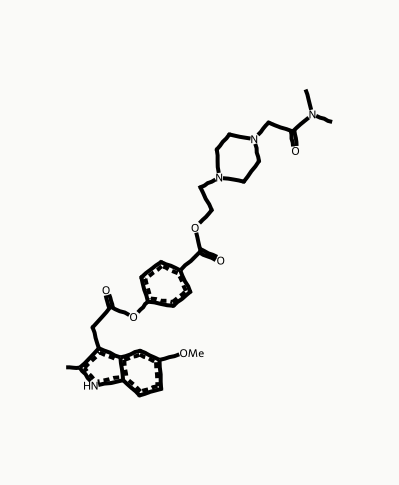 COc1ccc2[nH]c(C)c(CC(=O)Oc3ccc(C(=O)OCCN4CCN(CC(=O)N(C)C)CC4)cc3)c2c1